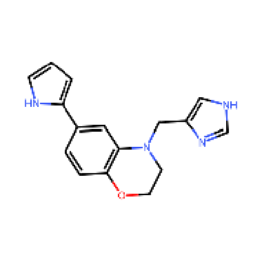 c1c[nH]c(-c2ccc3c(c2)N(Cc2c[nH]cn2)CCO3)c1